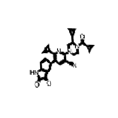 N#Cc1cc(-c2ccc3c(c2)C(=O)C(=O)N3)c(C2CC2)nc1N1CCN(C(=O)C2CC2)C(C2CC2)C1